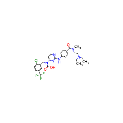 CCN(CC)CCN(C)C(=O)c1ccc(Nc2nccc(N(Cc3cc(C(F)(F)F)ccc3Cl)C(=O)O)n2)cc1